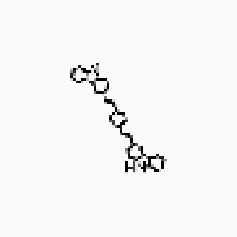 Cn1c2ccccc2c2cc(/C=C/c3ccc(/C=C/c4ccc5[nH]c6ccccc6c5c4)cc3)ccc21